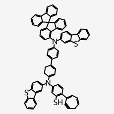 Sc1cc(N(C2=CC=C(c3ccc(N(c4ccc5c(c4)sc4ccccc45)c4cccc5c4-c4ccccc4C54c5ccccc5-c5ccccc54)cc3)CC2)c2ccc3sc4ccccc4c3c2)ccc1C1=CC=CCC#C1